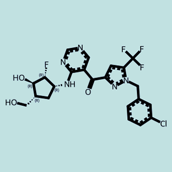 O=C(c1cc(C(F)(F)F)n(Cc2cccc(Cl)c2)n1)c1cncnc1N[C@@H]1C[C@H](CO)[C@@H](O)[C@@H]1F